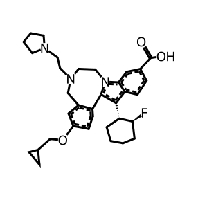 O=C(O)c1ccc2c([C@H]3CCCC[C@@H]3F)c3n(c2c1)CCN(CCN1CCCC1)Cc1cc(OCC2CC2)ccc1-3